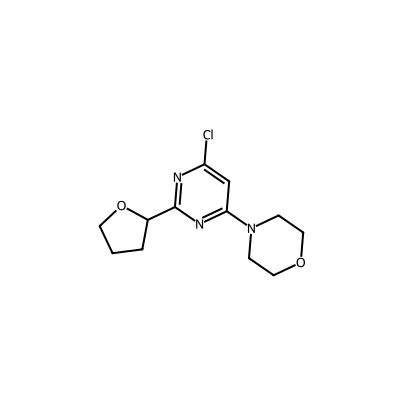 Clc1cc(N2CCOCC2)nc(C2CCCO2)n1